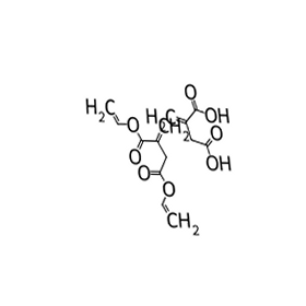 C=C(CC(=O)O)C(=O)O.C=COC(=O)CC(=C)C(=O)OC=C